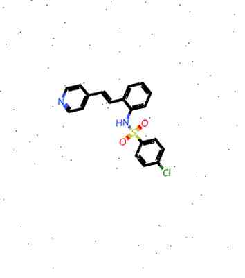 O=S(=O)(Nc1ccccc1C=Cc1ccncc1)c1ccc(Cl)cc1